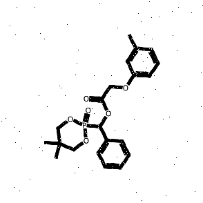 Cc1cccc(OCC(=O)OC(c2ccccc2)P2(=O)OCC(C)(C)CO2)c1